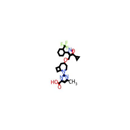 Cc1cc(C(=O)O)nc(N2CCC(OCc3c(C4CCCCC4C(F)(F)F)noc3C3CC3)CC3CCC32)n1